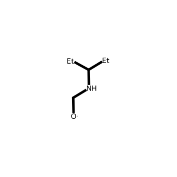 CCC(CC)NC[O]